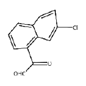 O=CC(=O)c1cccc2ccc(Cl)cc12